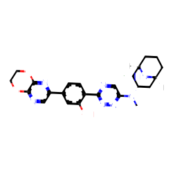 CN(c1cnc(-c2ccc(-c3cnc4c(n3)OCCO4)cc2O)nn1)[C@H]1C[C@@H]2CCC[C@@H](N2)[C@H]1F